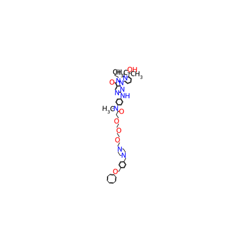 C=CCn1c(=O)c2cnc(Nc3ccc(N(C)C(=O)CCOCCOCCOCCN4CCN(Cc5ccc(COC6=C/C=C\C=C/C=C\6)cc5)CC4)cc3)nc2n1-c1cccc(C(C)(C)O)n1